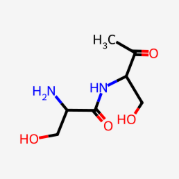 CC(=O)C(CO)NC(=O)C(N)CO